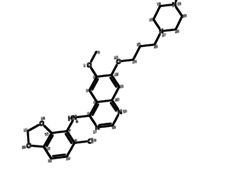 COc1cc2c(Nc3c(Cl)ccc4c3OCO4)ncnc2cc1OCCCN1CCN(CC#N)CC1